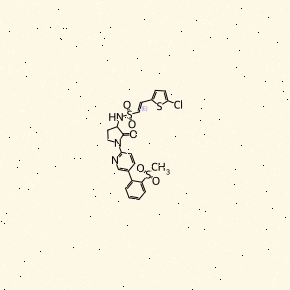 CS(=O)(=O)c1ccccc1-c1ccc(N2CCC(NS(=O)(=O)/C=C/c3ccc(Cl)s3)C2=O)nc1